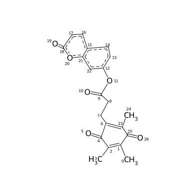 CC1=C(C)C(=O)C(CCC(=O)Oc2ccc3ccc(=O)oc3c2)=C(C)C1=O